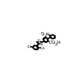 O=C(O)c1cc(-c2nc(-c3cc(Cl)ccc3Cl)cs2)ccc1-c1ccccc1[N+](=O)[O-]